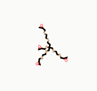 C(CSCC1CO1)SCCC(CSCCSCC1CO1)(CSCCSCC1CO1)SCC1CO1